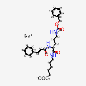 O=C([O-])CCCCCNC(=O)[C@H](CCCNC(=O)OCc1ccccc1)NC(=O)/C=C/c1ccccc1.[Na+]